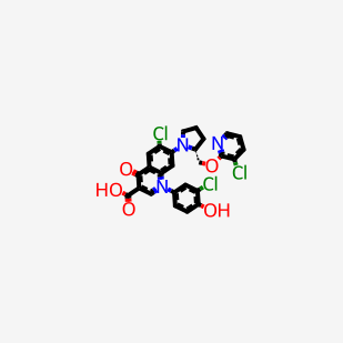 O=C(O)c1cn(-c2ccc(O)c(Cl)c2)c2cc(N3CCC[C@@H]3COc3ncccc3Cl)c(Cl)cc2c1=O